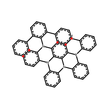 c1ccc(-c2cccc(-c3ccccc3)c2N2c3ccccc3N3c4ccccc4N4c5ccccc5B5c6ccccc6Nc6cc2c3c4c65)cc1